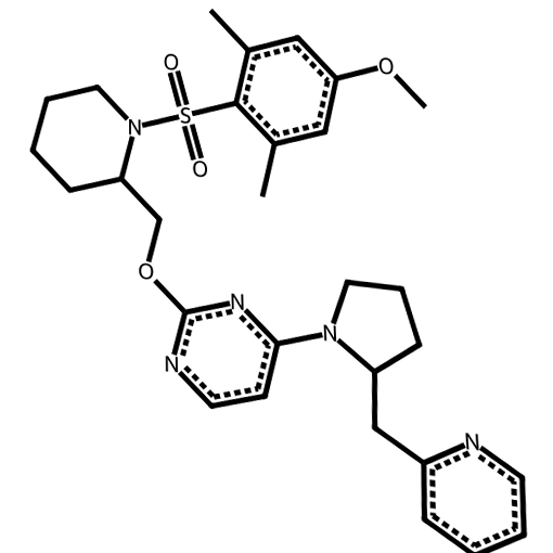 COc1cc(C)c(S(=O)(=O)N2CCCCC2COc2nccc(N3CCCC3Cc3ccccn3)n2)c(C)c1